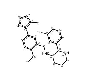 COc1ccc(-n2nnnc2C)cc1CNC1CCCNC1c1cccc(F)c1